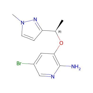 C[C@@H](Oc1cc(Br)cnc1N)c1ccn(C)n1